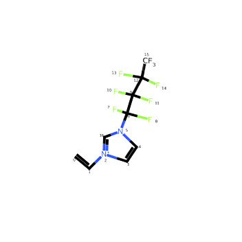 C=C[n+]1ccn(C(F)(F)C(F)(F)C(F)(F)C(F)(F)F)c1